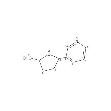 O=CC1CCC(c2cccnc2)O1